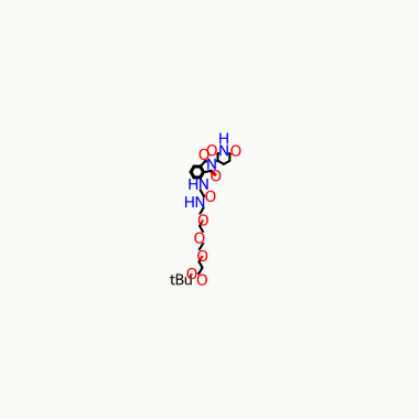 CC(C)(C)OC(=O)CCOCCOCCOCCNC(=O)CNc1cccc2c1C(=O)N(C1CCC(=O)NC1=O)C2=O